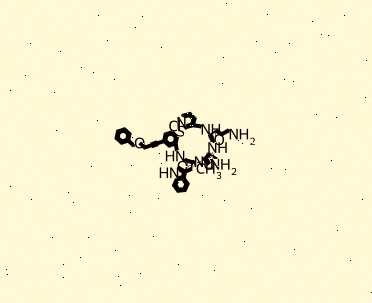 CN1C(=O)[C@H](CN)NC(=O)[C@H](CCCN)NCc2cccnc2Sc2c(Cl)cc(C#CCOCc3ccccc3)cc2CNC(=O)[C@@H]1Cc1c[nH]c2ccccc12